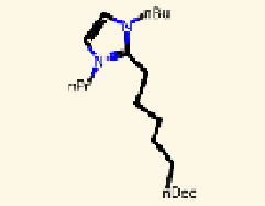 CCCCCCCCCCCCCCCc1n(CCCC)cc[n+]1CCC